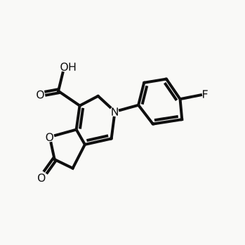 O=C1CC2=CN(c3ccc(F)cc3)CC(C(=O)O)=C2O1